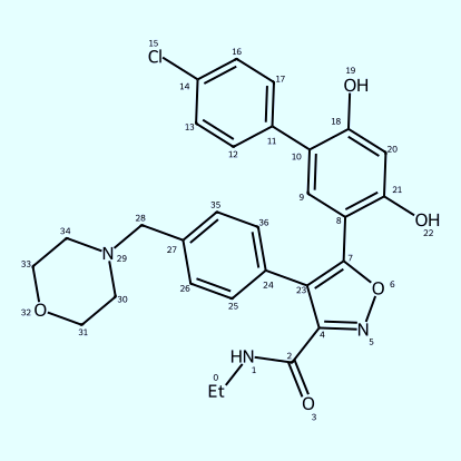 CCNC(=O)c1noc(-c2cc(-c3ccc(Cl)cc3)c(O)cc2O)c1-c1ccc(CN2CCOCC2)cc1